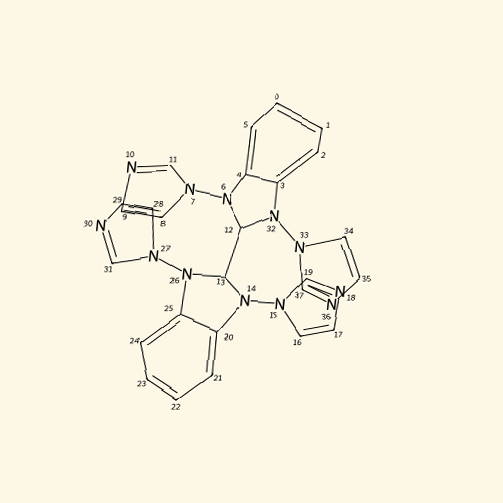 c1ccc2c(c1)N(n1ccnc1)C(C1N(n3ccnc3)c3ccccc3N1n1ccnc1)N2n1ccnc1